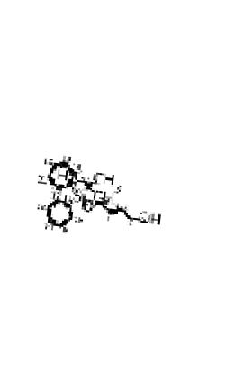 CC(C)(C)[Si](OC/C=C/CO)(c1ccccc1)c1ccccc1